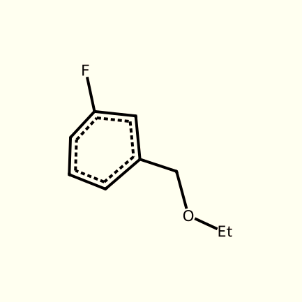 CCOCc1cccc(F)c1